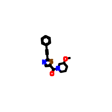 COC1CCCN(C(=O)c2cnc(C#Cc3ccccc3)s2)C1